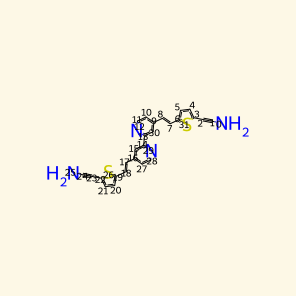 NC#Cc1ccc(/C=C/c2ccnc(-c3cc(/C=C/c4ccc(C#CN)s4)ccn3)c2)s1